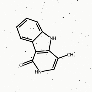 Cc1c[nH]c(=O)c2c1[nH]c1ccccc12